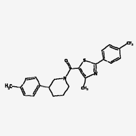 Cc1ccc(C2CCCN(C(=O)c3sc(-c4ccc(C(F)(F)F)cc4)nc3C)C2)cc1